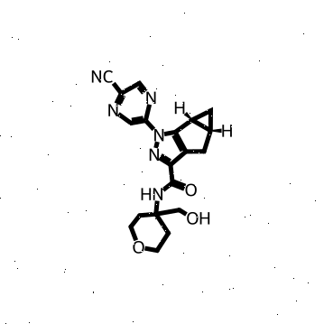 N#Cc1cnc(-n2nc(C(=O)NC3(CO)CCOCC3)c3c2[C@@H]2C[C@@H]2C3)cn1